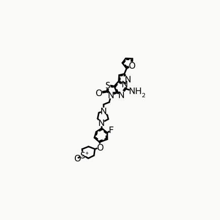 Nc1nc2c(sc(=O)n2CCN2CCN(c3ccc(OC4CC[S+]([O-])CC4)cc3F)CC2)c2cc(-c3ccco3)nn12